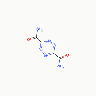 NC(=O)c1nnc(C(N)=O)nn1